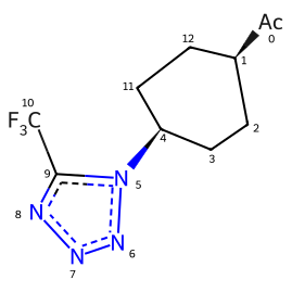 CC(=O)[C@H]1CC[C@@H](n2nnnc2C(F)(F)F)CC1